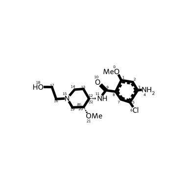 COc1cc(N)c(Cl)cc1C(=O)N[C@H]1CCN(CCO)C[C@H]1OC